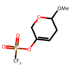 COC1CC=C(OS(=O)(=O)C(F)(F)F)CO1